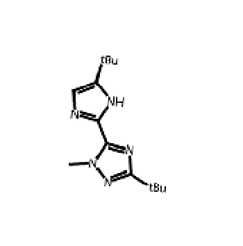 Cn1nc(C(C)(C)C)nc1-c1ncc(C(C)(C)C)[nH]1